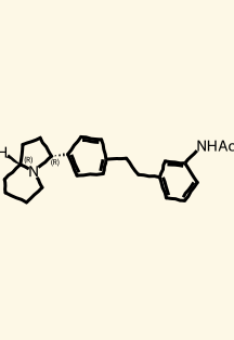 CC(=O)Nc1cccc(CCc2ccc([C@H]3CC[C@H]4CCCCN43)cc2)c1